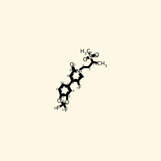 CC(CCn1cc(F)c(-c2ccc3c(c2)OC(F)(F)O3)cc1=O)S(C)(=O)=O